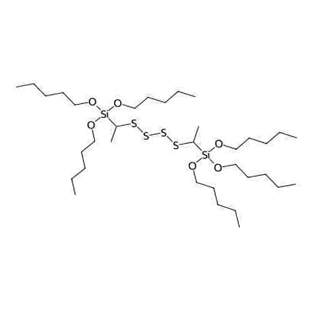 CCCCCO[Si](OCCCCC)(OCCCCC)C(C)SSSSC(C)[Si](OCCCCC)(OCCCCC)OCCCCC